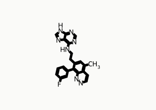 Cc1cc(CCNc2ncnc3[nH]cnc23)c(-c2cccc(F)c2)c2nnccc12